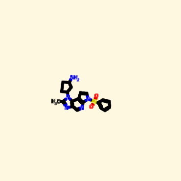 Cc1nc2cnc3c(ccn3S(=O)(=O)c3ccccc3)c2n1C1CCC(N)C1